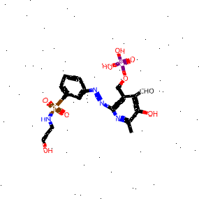 Cc1nc(N=Nc2cccc(S(=O)(=O)NCCO)c2)c(COP(=O)(O)O)c(C=O)c1O